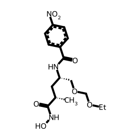 CCOCOC[C@H](C[C@H](C)C(=O)NO)NC(=O)c1ccc([N+](=O)[O-])cc1